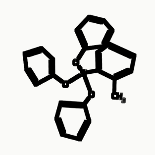 Cc1ccccc1[Si](Oc1ccccc1)(Oc1ccccc1)Oc1ccccc1